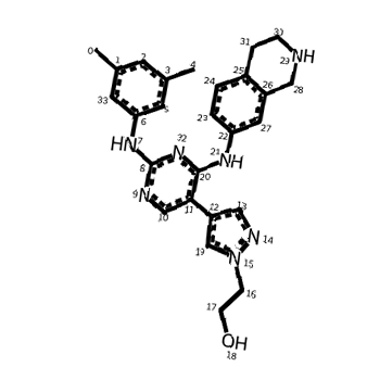 Cc1cc(C)cc(Nc2ncc(-c3cnn(CCO)c3)c(Nc3ccc4c(c3)CNCC4)n2)c1